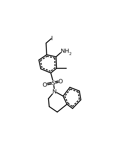 Cc1c(S(=O)(=O)N2CCCc3ccccc32)ccc(CI)c1N